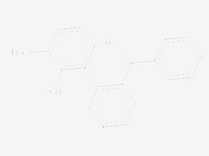 Cc1cccc(-c2ccccc2C(C)c2ccccc2)c1C